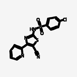 N#Cc1sc(NS(=O)(=O)c2ccc(Cl)cc2)nc1-c1ccccn1